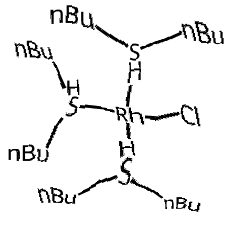 CCCC[SH](CCCC)[Rh]([Cl])([SH](CCCC)CCCC)[SH](CCCC)CCCC